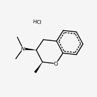 C[C@@H]1Oc2ccccc2C[C@@H]1N(C)C.Cl